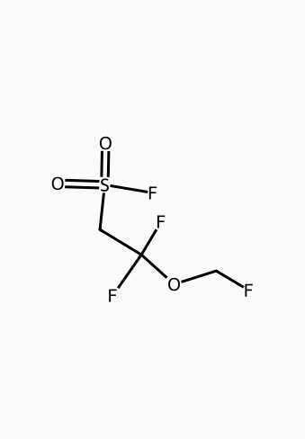 O=S(=O)(F)CC(F)(F)OCF